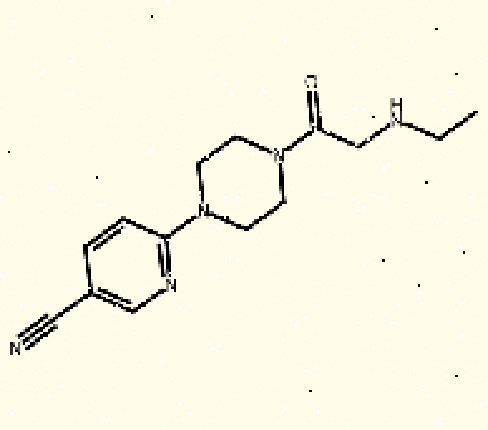 CCNCC(=O)N1CCN(c2ccc(C#N)cn2)CC1